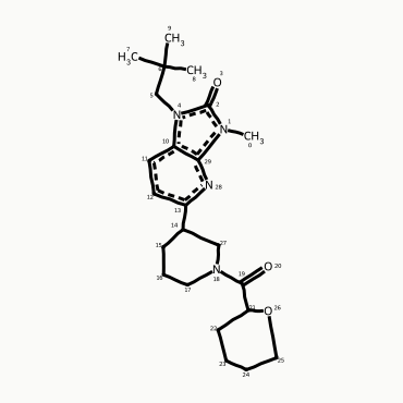 Cn1c(=O)n(CC(C)(C)C)c2ccc(C3CCCN(C(=O)C4CCCCO4)C3)nc21